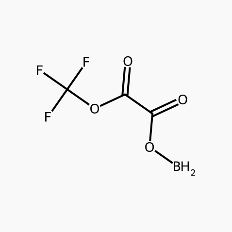 BOC(=O)C(=O)OC(F)(F)F